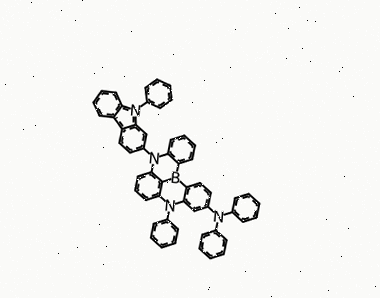 c1ccc(N(c2ccccc2)c2ccc3c(c2)N(c2ccccc2)c2cccc4c2B3c2ccccc2N4c2ccc3c4ccccc4n(-c4ccccc4)c3c2)cc1